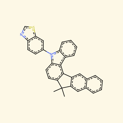 CC1(C)c2cc3ccccc3cc2-c2c1ccc1c2c2ccccc2n1-c1ccc2ncsc2c1